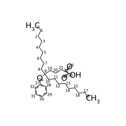 CCCCCCCCCC(CCCCCCCCC)(CCCS(=O)(=O)O)Oc1ccccc1